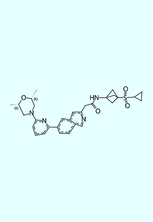 C[C@@H]1CN(c2cccc(-c3ccc4cnc(CC(=O)NC56CC(S(=O)(=O)C7CC7)(C5)C6)cc4c3)n2)C[C@H](C)O1